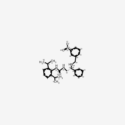 CC(C)c1cccc(C(C)C)c1NC(=O)NC[C@H](NCc1cccc([N+](=O)[O-])c1)c1ccccc1